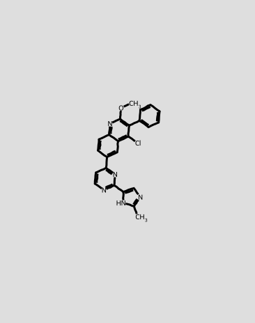 COc1nc2ccc(-c3ccnc(-c4cnc(C)[nH]4)n3)cc2c(Cl)c1-c1ccccc1